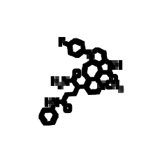 CN1C=CC(C(CCC(=O)Nc2ccccc2)C(N)=O)=c2ccc3c4c([nH]c(=O)c-4c21)=CCN3c1ccc(F)cc1